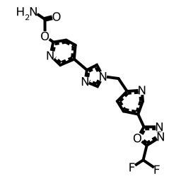 NC(=O)Oc1ccc(-c2cn(Cc3ccc(-c4nnc(C(F)F)o4)cn3)cn2)cn1